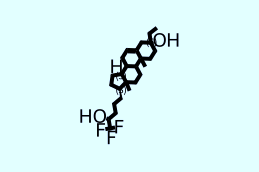 CC[C@]1(O)CCC2(C)C(=CCC3C2CCC2(C)[C@@H](CCCC(O)C(F)(F)F)CC[C@@H]32)C1